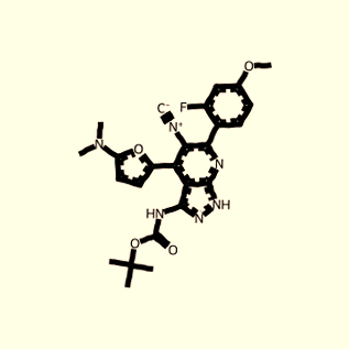 [C-]#[N+]c1c(-c2ccc(OC)cc2F)nc2[nH]nc(NC(=O)OC(C)(C)C)c2c1-c1ccc(N(C)C)o1